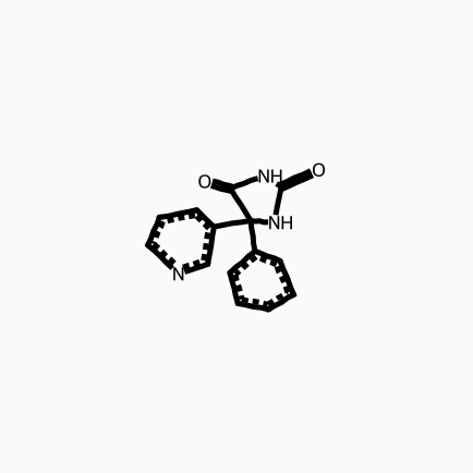 O=C1NC(=O)C(c2ccccc2)(c2cccnc2)N1